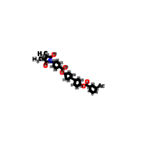 CC(=O)c1cccc(C(=O)Oc2ccc(-c3ccc(OC(=O)c4ccc(N5C(=O)C(C)=C(C)C5=O)cc4)cc3)cc2)c1